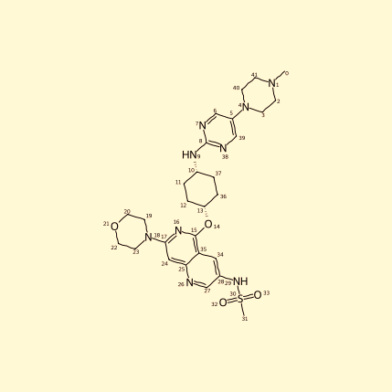 CN1CCN(c2cnc(N[C@H]3CC[C@@H](Oc4nc(N5CCOCC5)cc5ncc(NS(C)(=O)=O)cc45)CC3)nc2)CC1